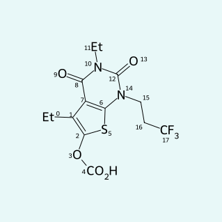 CCc1c(OC(=O)O)sc2c1c(=O)n(CC)c(=O)n2CCC(F)(F)F